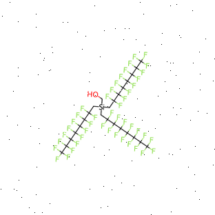 OC[Si](CC(F)(F)C(F)(F)C(F)(F)C(F)(F)C(F)(F)C(F)(F)C(F)(F)F)(CC(F)(F)C(F)(F)C(F)(F)C(F)(F)C(F)(F)C(F)(F)C(F)(F)F)CC(F)(F)C(F)(F)C(F)(F)C(F)(F)C(F)(F)C(F)(F)C(F)(F)F